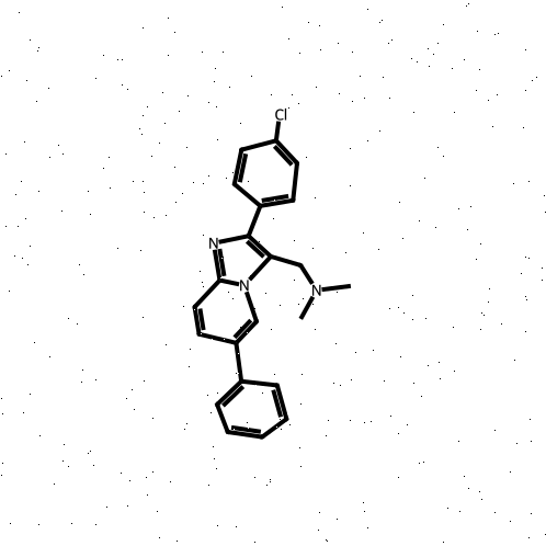 CN(C)Cc1c(-c2ccc(Cl)cc2)nc2ccc(-c3ccccc3)cn12